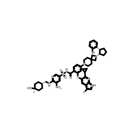 CC(C)c1ccccc1[C@@H]1CCC[C@@H]1N1CC2(CCN(c3ccc(C(=O)NS(=O)(=O)c4cnc(NC[C@H]5CC[C@](C)(O)CC5)c([N+](=O)[O-])c4)c(Oc4cc5c(F)c[nH]c5nc4C4CC4)c3)CC2)C1